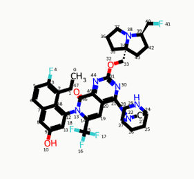 CCc1c(F)ccc2cc(O)cc(-n3c(C(F)(F)F)cc4c(N5CC6CCC5CN6)nc(OC[C@]56CCCN5[C@@H](CF)CC6)nc4c3=O)c12